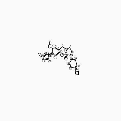 COc1cc(CN2CC[C@H](c3ccc(Cl)cc3)S2(=O)=O)ccc1-n1cnc(C)c1